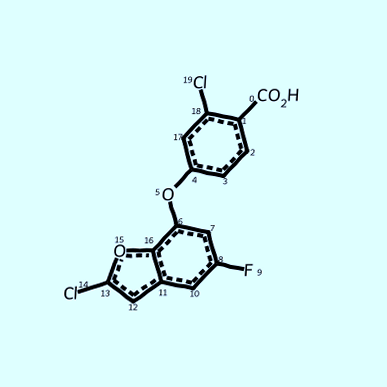 O=C(O)c1ccc(Oc2cc(F)cc3cc(Cl)oc23)cc1Cl